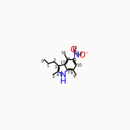 CCCc1c(C)[nH]c2c(C)cc([N+](=O)[O-])c(C)c12